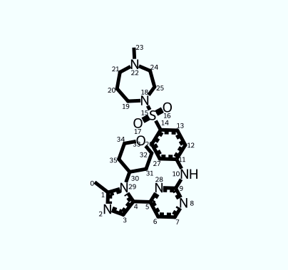 Cc1ncc(-c2ccnc(Nc3ccc(S(=O)(=O)N4CCCN(C)CC4)cc3)n2)n1C1CCOCC1